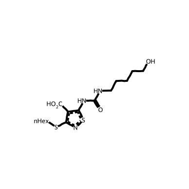 CCCCCCSc1nsc(NC(=O)NCCCCCO)c1C(=O)O